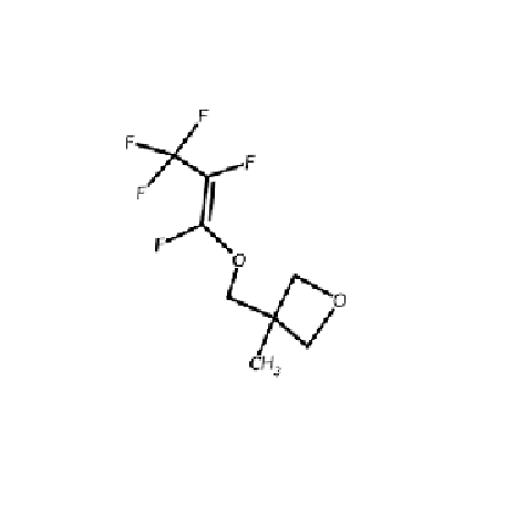 CC1(COC(F)=C(F)C(F)(F)F)COC1